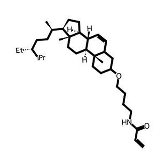 C=CC(=O)NCCCCOC1CC[C@@]2(C)C(C=C[C@H]3[C@@H]4CC[C@H]([C@H](C)CC[C@@H](CC)C(C)C)[C@@]4(C)CC[C@@H]32)C1